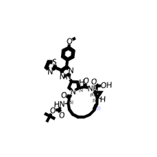 COc1ccc(-c2nn(C3C[C@H]4C(=O)N[C@]5(C(=O)O)C[C@H]5/C=C\CCCCC[C@H](NC(=O)OC(C)(C)C)C(=O)N4C3)nc2-c2nccs2)cc1